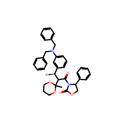 CC[C@@H](c1cccc(N(Cc2ccccc2)Cc2ccccc2)c1)C(C(=O)N1C(=O)OCC1c1ccccc1)C1(C)OCCCO1